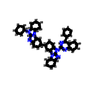 c1ccc(-c2nc(-n3c4ccc(-c5ccc6nc7n(-c8ccccc8)c8ccccc8n7c6c5)cc4n4c5ccccc5nc34)nc3ccccc23)cc1